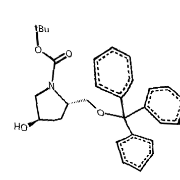 CC(C)(C)OC(=O)N1C[C@H](O)C[C@H]1COC(c1ccccc1)(c1ccccc1)c1ccccc1